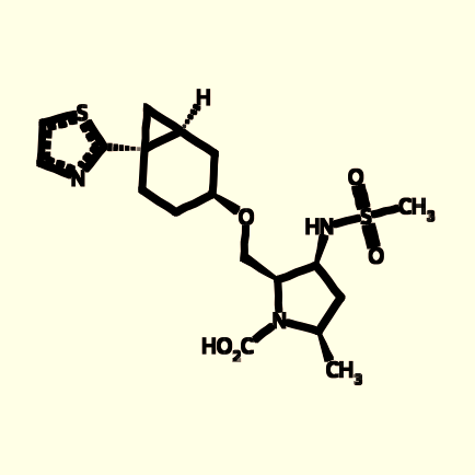 C[C@@H]1C[C@H](NS(C)(=O)=O)[C@H](CO[C@H]2CC[C@@]3(c4nccs4)C[C@H]3C2)N1C(=O)O